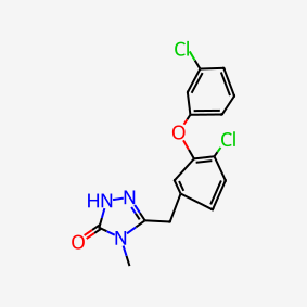 Cn1c(Cc2ccc(Cl)c(Oc3cccc(Cl)c3)c2)n[nH]c1=O